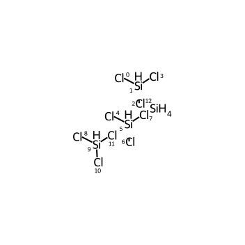 Cl[SiH](Cl)Cl.Cl[SiH](Cl)Cl.Cl[SiH](Cl)Cl.[SiH4]